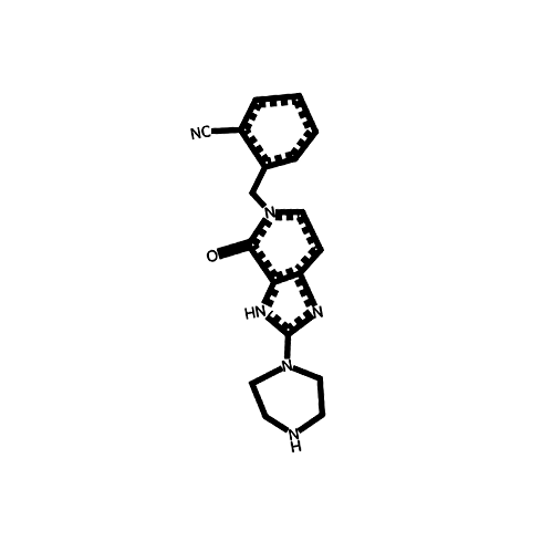 N#Cc1ccccc1Cn1ccc2nc(N3CCNCC3)[nH]c2c1=O